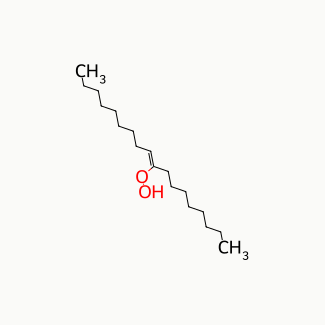 CCCCCCCC/C=C(/CCCCCCCC)OO